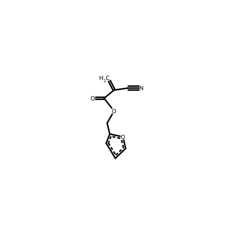 C=C(C#N)C(=O)OCc1ccco1